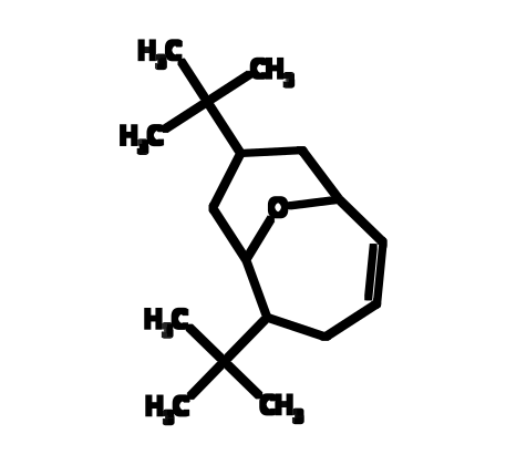 CC(C)(C)C1CC2C=CCC(C(C)(C)C)C(C1)O2